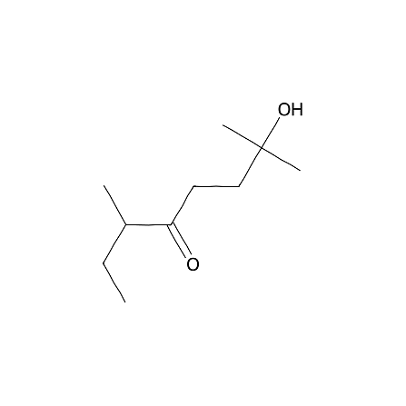 CCC(C)C(=O)CCC(C)(C)O